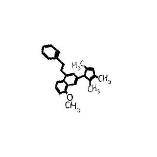 COc1cccc2c(CCc3ccccc3)cc(C3C(C)=CC(C)=C3C)cc12